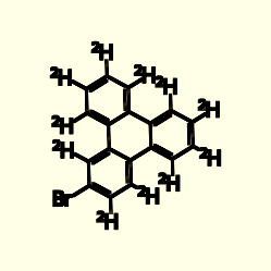 [2H]c1c([2H])c([2H])c2c(c1[2H])c1c([2H])c([2H])c([2H])c([2H])c1c1c([2H])c(Br)c([2H])c([2H])c21